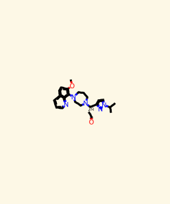 COc1ccc2cccnc2c1N1CCCN([C@@H](CC=O)c2ccn(C(C)C)n2)CC1